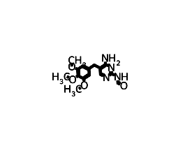 COc1cc(Cc2cnc(NC=O)nc2N)cc(OC)c1OC